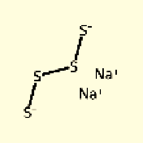 [Na+].[Na+].[S-]SS[S-]